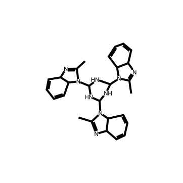 CC1=NC2C=CC=CC2N1C1NC(N2C(C)=NC3C=CC=CC32)NC(N2C(C)=NC3C=CC=CC32)N1